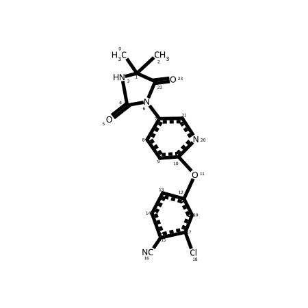 CC1(C)NC(=O)N(c2ccc(Oc3ccc(C#N)c(Cl)c3)nc2)C1=O